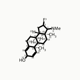 CNC1C(F)C[C@H]2[C@@H]3CCC4=CC(O)C=C[C@]4(C)[C@@H]3CC[C@]12C